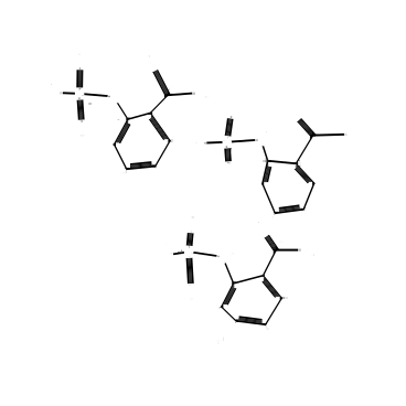 O=C([O-])c1ccccc1OS(=O)(=O)O.O=C([O-])c1ccccc1OS(=O)(=O)O.O=C([O-])c1ccccc1OS(=O)(=O)O.[Bi+3]